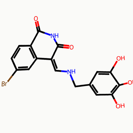 O=C1NC(=O)c2ccc(Br)cc2/C1=C/NCc1cc(O)c(O)c(O)c1